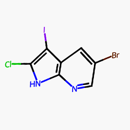 Clc1[nH]c2ncc(Br)cc2c1I